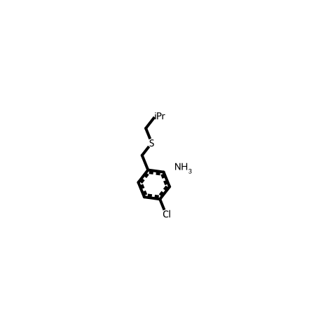 CC(C)CSCc1ccc(Cl)cc1.N